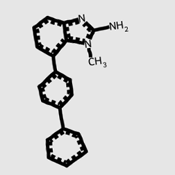 Cn1c(N)nc2cccc(-c3ccc(-c4ccccc4)cc3)c21